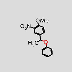 COc1ccc(C(C)Oc2ccccc2)cc1[N+](=O)[O-]